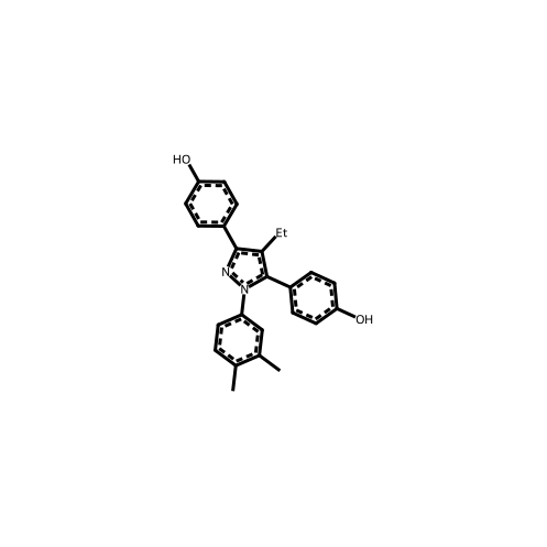 CCc1c(-c2ccc(O)cc2)nn(-c2ccc(C)c(C)c2)c1-c1ccc(O)cc1